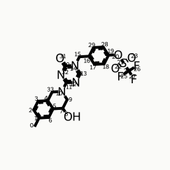 Cc1ccc2c(c1)C(O)CN(c1ncn(Cc3ccc(OS(=O)(=O)C(F)(F)F)cc3)c(=O)n1)C2